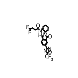 O=C(CCC(F)F)N[C@@H]1CCCC[C@H]1N1Cc2ccc(-c3noc(C(F)(F)F)n3)cc2C1=O